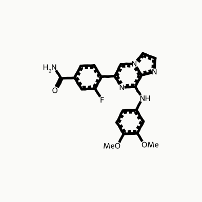 COc1ccc(Nc2nc(-c3ccc(C(N)=O)cc3F)cn3ccnc23)cc1OC